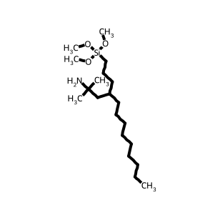 CCCCCCCCCC(CCC[Si](OC)(OC)OC)CC(C)(C)N